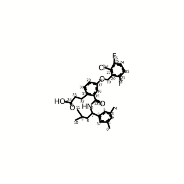 Cc1cc(C)cc(C(CC(C)C)NC(=O)c2cc(OCc3c(F)ccc(F)c3Cl)ccc2CCC(=O)O)c1